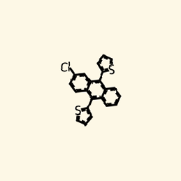 Clc1ccc2c(-c3cccs3)c3ccccc3c(-c3cccs3)c2c1